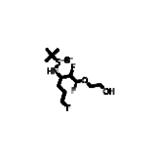 CC(C)(C)[S@@+]([O-])NC(CCCF)C(F)[C@H](F)OCCO